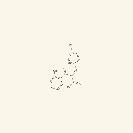 O=C(O)/C(=C/c1ccc(Br)cn1)C(=O)c1ccccc1O